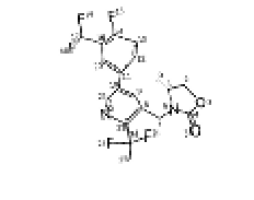 C[C@@H]1COC(=O)N1Cc1cc(-c2ccc(F)c(C(F)F)c2)cnc1C(C)(F)F